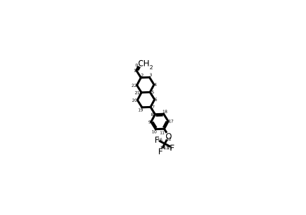 C=CC1CCC2CC(c3ccc(OC(F)(F)F)cc3)CCC2C1